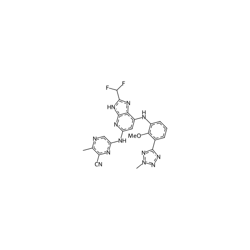 COc1c(Nc2cc(Nc3cnc(C)c(C#N)n3)nc3[nH]c(C(F)F)nc23)cccc1-c1nnn(C)n1